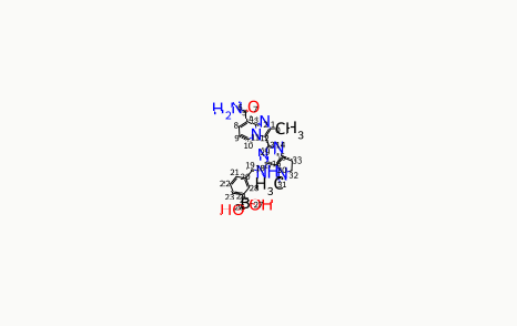 Cc1nc2c(C(N)=O)cccn2c1-c1nc2c(c(NCc3cccc(B(O)O)c3)n1)N(C)CC2